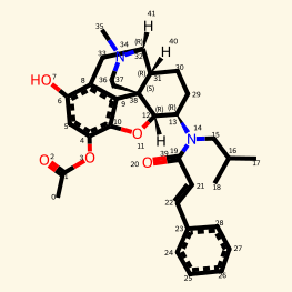 CC(=O)Oc1cc(O)c2c3c1O[C@H]1[C@H](N(CC(C)C)C(=O)C=Cc4ccccc4)CC[C@H]4[C@@H](C2)N(C)CC[C@@]341